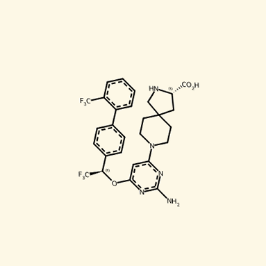 Nc1nc(O[C@H](c2ccc(-c3ccccc3C(F)(F)F)cc2)C(F)(F)F)cc(N2CCC3(CC2)CN[C@H](C(=O)O)C3)n1